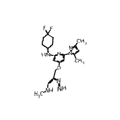 CN/C=C(/COc1cc(NC2CCC(F)(F)CC2)nc(-n2nc(C)cc2C)c1)N=N